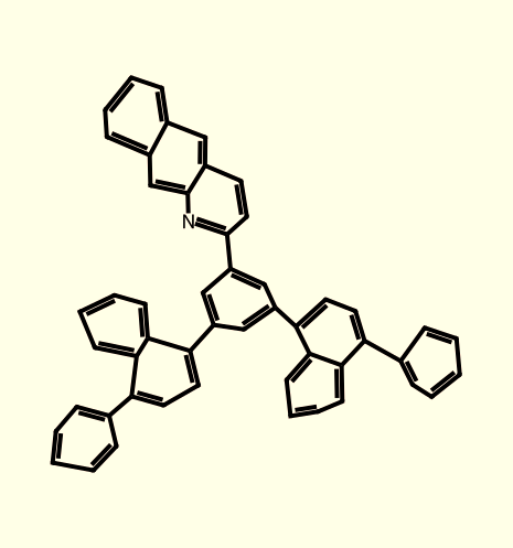 c1ccc(-c2ccc(-c3cc(-c4ccc5cc6ccccc6cc5n4)cc(-c4ccc(-c5ccccc5)c5ccccc45)c3)c3ccccc23)cc1